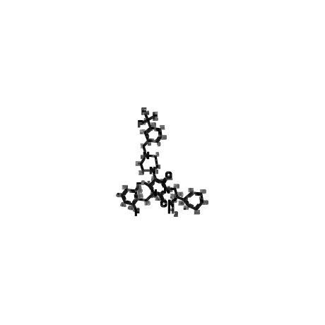 Cc1c(N2CCN(Cc3cccc(C(F)(F)F)c3)CC2)c(=O)n(C[C@H](N)c2ccccc2)c(=O)n1Cc1c(F)cccc1F